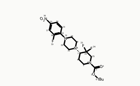 CC(C)(C)OC(=O)N1CC[C@H](N2CCN(c3ccc([N+](=O)[O-])cc3F)CC2)C(F)(F)C1